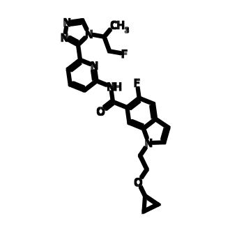 CC(CF)n1cnnc1-c1cccc(NC(=O)c2cc3c(ccn3CCOC3CC3)cc2F)n1